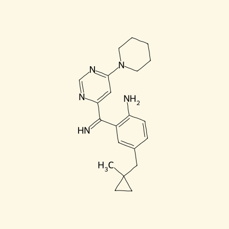 CC1(Cc2ccc(N)c(C(=N)c3cc(N4CCCCC4)ncn3)c2)CC1